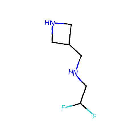 FC(F)CNCC1CNC1